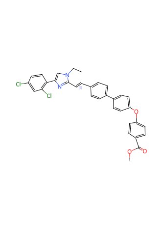 CCn1cc(-c2ccc(Cl)cc2Cl)nc1/C=C/c1ccc(-c2ccc(Oc3ccc(C(=O)OC)cc3)cc2)cc1